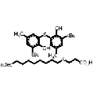 CCCCCCCCCCCCCCCCCCSCCC(=O)O.Cc1cc(Sc2cc(C)cc(C(C)(C)C)c2O)c(O)c(C(C)(C)C)c1